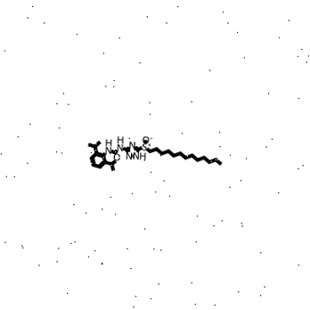 CCCCCCCCCCCCC[S+]([O-])c1nc(NC(=O)Nc2c(C(C)C)cccc2C(C)C)n[nH]1